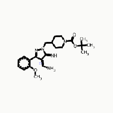 COc1ccccc1C1=NN(CC2CCN(C(=O)OC(C)(C)C)CC2)C(=N)/C1=C\N